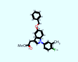 COC(=O)Cc1cn(-c2ccc(F)c(C)c2)c2ccc(OCc3ccccc3)cc12